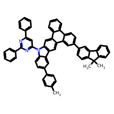 Cc1ccc(-c2ccc3c(c2)c2cc4c5cc(-c6ccc7c(c6)-c6ccccc6C7(C)C)ccc5c5ccccc5c4cc2n3-c2cc(-c3ccccc3)nc(-c3ccccc3)n2)cc1